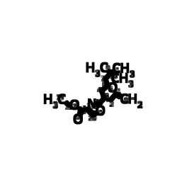 C=CC[C@H](CC(=O)CC(C)(C)C)c1nc(C(=O)OCC)co1